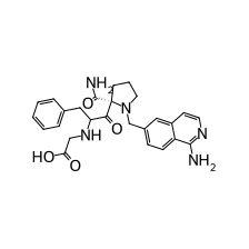 NC(=O)[C@]1(C(=O)C(Cc2ccccc2)NCC(=O)O)CCCN1Cc1ccc2c(N)nccc2c1